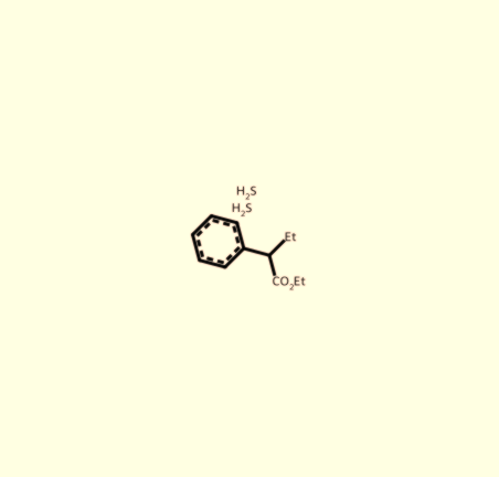 CCOC(=O)C(CC)c1ccccc1.S.S